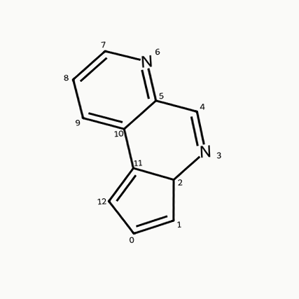 C1=CC2N=Cc3ncccc3C2=C1